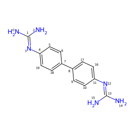 NC(N)=Nc1ccc(-c2ccc(N=C(N)N)cc2)cc1